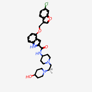 C[C@@H](CN1CCC(NC(=O)c2cc3c(OCc4coc5cc(Cl)ccc45)cccc3[nH]2)CC1)N1CCC(O)CC1